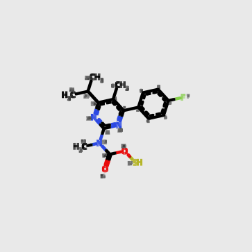 Cc1c(-c2ccc(F)cc2)nc(N(C)C(=O)OS)nc1C(C)C